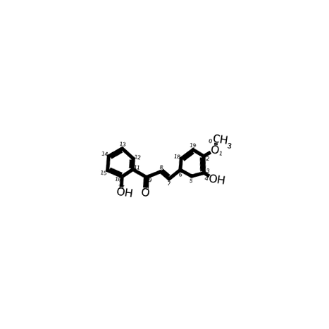 COC1=C(O)CC(/C=C/C(=O)c2ccccc2O)C=C1